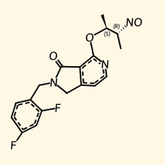 C[C@H](Oc1nccc2c1C(=O)N(Cc1ccc(F)cc1F)C2)[C@@H](C)N=O